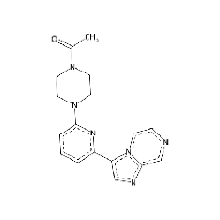 CC(=O)N1CCN(c2cccc(-c3cnc4cnccn34)n2)CC1